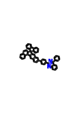 c1ccc(-c2nc(-c3ccc(-c4ccc5cc6c(cc5c4)C4(c5ccccc5-c5ccccc54)c4ccc5ccccc5c4-6)cc3)nc3ccccc23)cc1